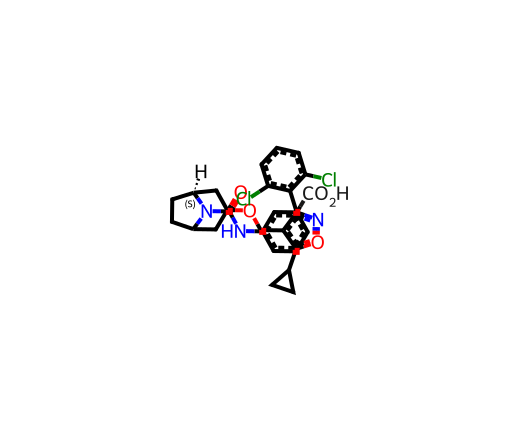 O=C(O)c1cccc(NC(=O)N2C3CC[C@H]2CC(OCc2c(-c4c(Cl)cccc4Cl)noc2C2CC2)C3)c1